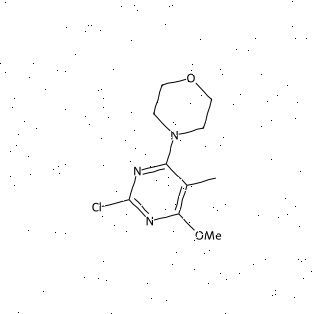 COc1nc(Cl)nc(N2CCOCC2)c1C